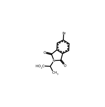 CC(C(=O)O)N1C(=O)c2ccc(Br)cc2C1=O